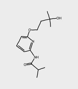 CC(C)C(=O)Nc1cccc(OCCC(C)(C)O)n1